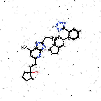 CCc1nc2c(C)cc(CCC3(O)CCCC3)nc2n1[C@H]1CCc2cc(-c3ccccc3-c3nnn[nH]3)ccc21